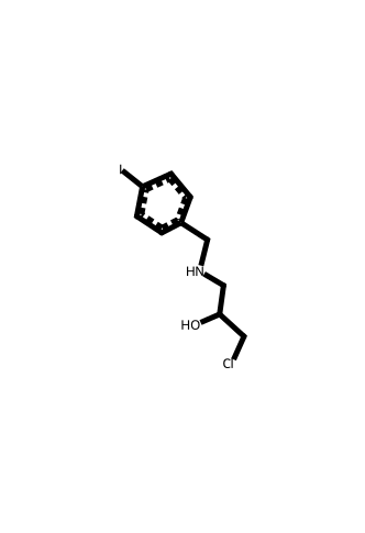 OC(CCl)CNCc1ccc(I)cc1